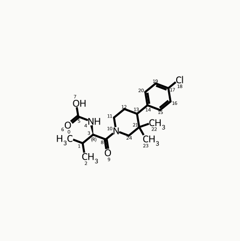 CC(C)[C@@H](NC(=O)O)C(=O)N1CCC(c2ccc(Cl)cc2)C(C)(C)C1